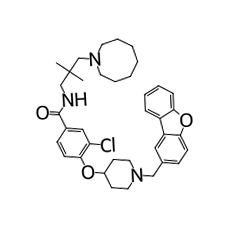 CC(C)(CNC(=O)c1ccc(OC2CCN(Cc3ccc4oc5ccccc5c4c3)CC2)c(Cl)c1)CN1CCCCCCC1